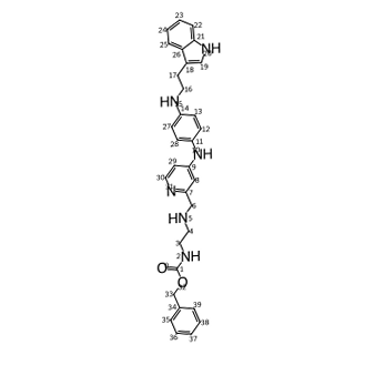 O=C(NCCNCc1cc(Nc2ccc(NCCc3c[nH]c4ccccc34)cc2)ccn1)OCc1ccccc1